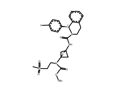 CCCCOC(=O)N(CCS(C)(=O)=O)C12CC(NC(=O)N3CCc4ccccc4[C@@H]3c3ccc(F)cc3)(C1)C2